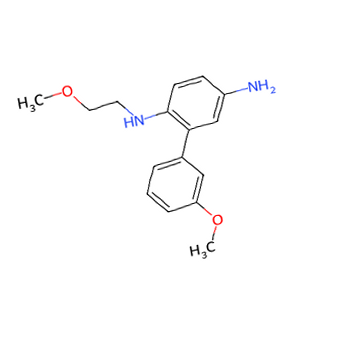 COCCNc1ccc(N)cc1-c1cccc(OC)c1